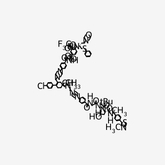 Cc1ncsc1-c1ccc([C@H](C)NC(=O)[C@@H]2C[C@@H](O)CN2C(=O)[C@@H](NC(=O)CNC(=O)c2ccc(N3CCN(CCN(C)CC4(C)CCC(c5ccc(Cl)cc5)=C(CN5CCN(c6ccc(C(=O)NS(=O)(=O)c7ccc(N[C@H](CCN8CCOCC8)CSc8ccccc8)c(S(=O)(=O)C(F)(F)F)c7)cc6)CC5)C4)CC3)cc2)C(C)(C)C)cc1